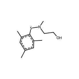 Cc1cc(C)c(SN(C)CCO)c(C)c1